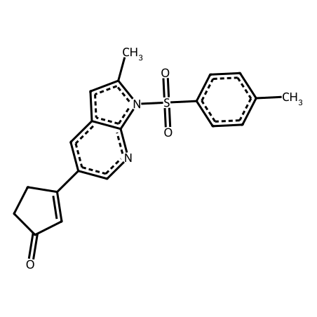 Cc1ccc(S(=O)(=O)n2c(C)cc3cc(C4=CC(=O)CC4)cnc32)cc1